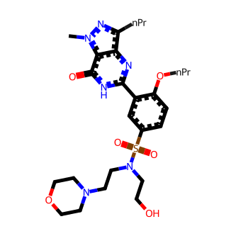 CCCOc1ccc(S(=O)(=O)N(CCO)CCN2CCOCC2)cc1-c1nc2c(CCC)nn(C)c2c(=O)[nH]1